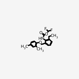 CCc1cccc(COc2ccc(C)cc2C)c1NC(=O)OC(F)F